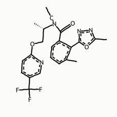 CCN(C(=O)c1cccc(C)c1-c1nnc(C)o1)[C@@H](C)COc1ccc(C(F)(F)F)cn1